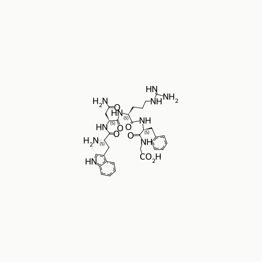 N=C(N)NCCC[C@H](NC(=O)[C@H](CC(N)=O)NC(=O)[C@@H](N)Cc1c[nH]c2ccccc12)C(=O)N[C@@H](Cc1ccccc1)C(=O)NCC(=O)O